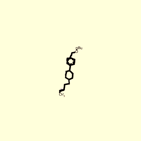 C/C=C/CCC1CCC(c2ccc(COCCCC)cc2)CC1